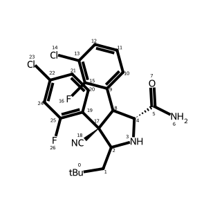 CC(C)(C)CC1N[C@@H](C(N)=O)C(c2cccc(Cl)c2F)[C@@]1(C#N)c1ccc(Cl)cc1F